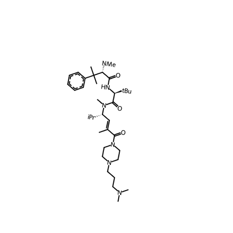 CN[C@H](C(=O)N[C@H](C(=O)N(C)[C@H](/C=C(\C)C(=O)N1CCN(CCCN(C)C)CC1)C(C)C)C(C)(C)C)C(C)(C)c1ccccc1